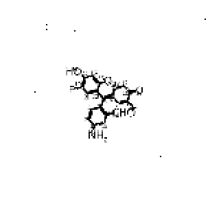 Nc1ccc(-c2c3cc(F)c(=O)cc-3oc3cc(O)c(F)cc23)c(C=O)c1